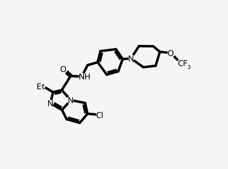 CCc1nc2ccc(Cl)cn2c1C(=O)NCc1ccc(N2CCC(OC(F)(F)F)CC2)cc1